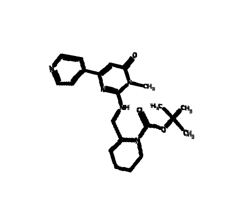 Cn1c(NCC2CCCCN2C(=O)OC(C)(C)C)nc(-c2ccncc2)cc1=O